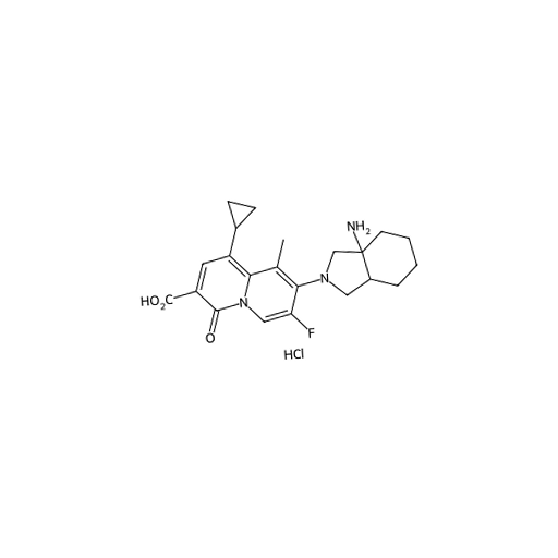 Cc1c(N2CC3CCCCC3(N)C2)c(F)cn2c(=O)c(C(=O)O)cc(C3CC3)c12.Cl